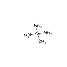 [NH2][Ge]([NH2])([NH2])[NH2]